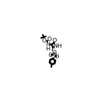 Cc1ccc(S(=O)(=O)OC[C@@H]2NC(=O)[C@@H]2NC(=O)OC(C)(C)C)cc1